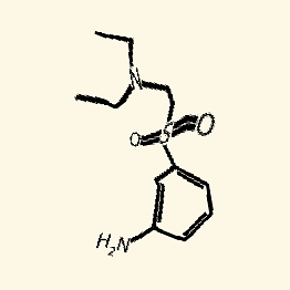 CCN(CC)CS(=O)(=O)c1cccc(N)c1